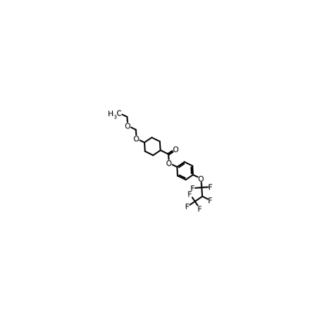 CCOCOC1CCC(C(=O)Oc2ccc(OC(F)(F)C(F)C(F)(F)F)cc2)CC1